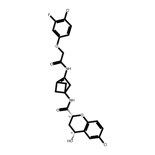 O=C(COc1ccc(Cl)c(F)c1)NC1=C2CC(NC(=O)[C@H]3C[C@@H](O)c4cc(Cl)ccc4O3)(C2)C1